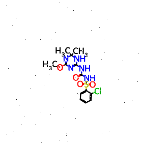 COC1=NC(C)(C)NC(NC(=O)NS(=O)(=O)c2ccccc2Cl)=N1